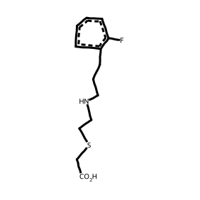 O=C(O)CSCCNCCCc1ccccc1F